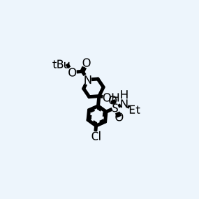 CCNS(=O)(=O)c1cc(Cl)ccc1C1(O)CCN(C(=O)OC(C)(C)C)CC1